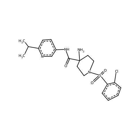 CC(C)c1ccc(NC(=O)C2(N)CCN(S(=O)(=O)c3ccccc3Cl)CC2)cn1